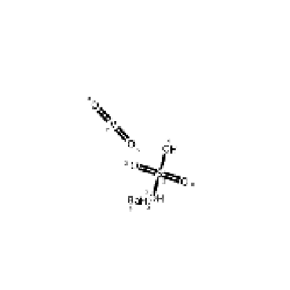 O=S(=O)(O)O.[BaH2].[O]=[V]=[O]